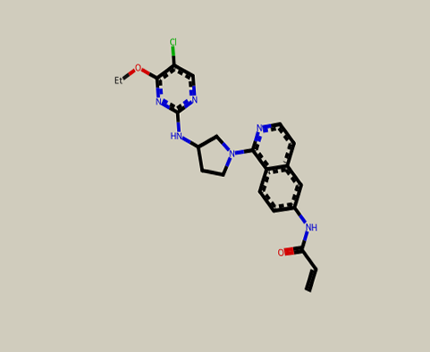 C=CC(=O)Nc1ccc2c(N3CCC(Nc4ncc(Cl)c(OCC)n4)C3)nccc2c1